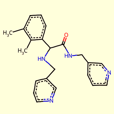 Cc1cccc(C(NCc2cccnc2)C(=O)NCc2cccnc2)c1C